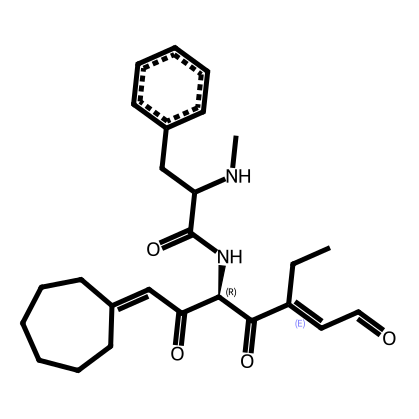 CC/C(=C\C=O)C(=O)[C@H](NC(=O)C(Cc1ccccc1)NC)C(=O)C=C1CCCCCC1